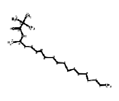 CCCCCCCCCCCCCCCCC(C)OC(=O)C(C)(C)C